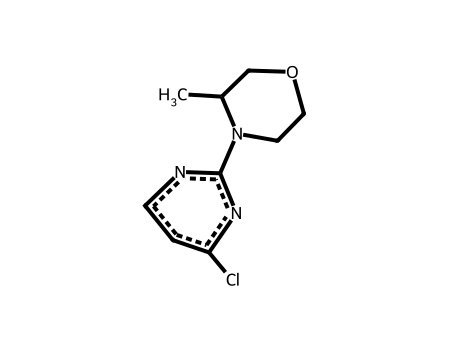 CC1COCCN1c1nccc(Cl)n1